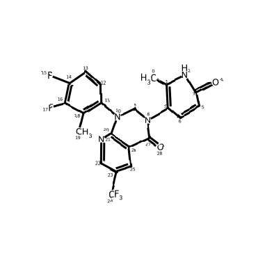 Cc1[nH]c(=O)ccc1N1CN(c2ccc(F)c(F)c2C)c2ncc(C(F)(F)F)cc2C1=O